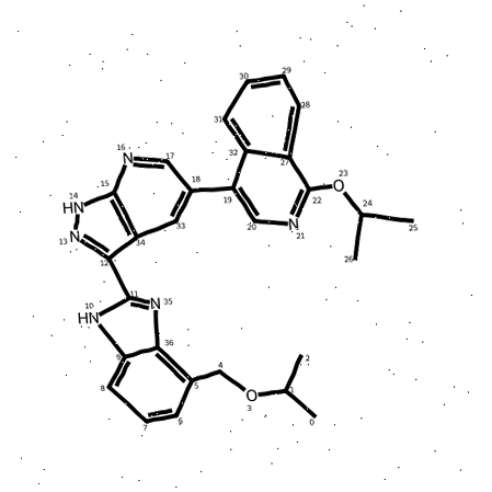 CC(C)OCc1cccc2[nH]c(-c3n[nH]c4ncc(-c5cnc(OC(C)C)c6ccccc56)cc34)nc12